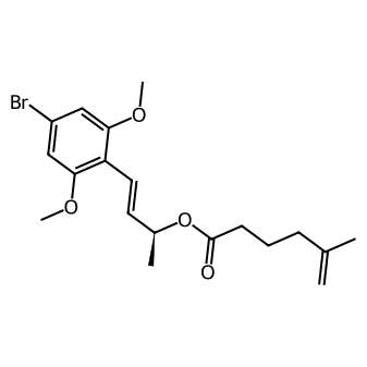 C=C(C)CCCC(=O)O[C@@H](C)/C=C/c1c(OC)cc(Br)cc1OC